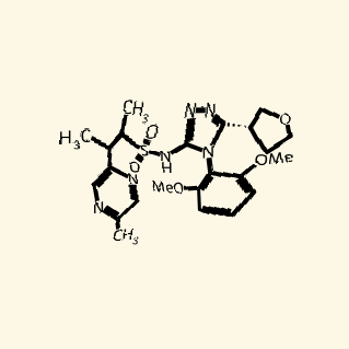 COc1cccc(OC)c1-n1c(NS(=O)(=O)C(C)C(C)c2cnc(C)cn2)nnc1[C@H]1CCOC1